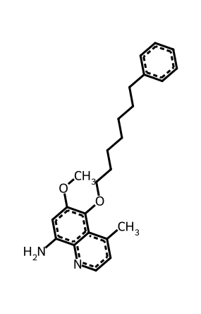 COc1cc(N)c2nccc(C)c2c1OCCCCCCCc1ccccc1